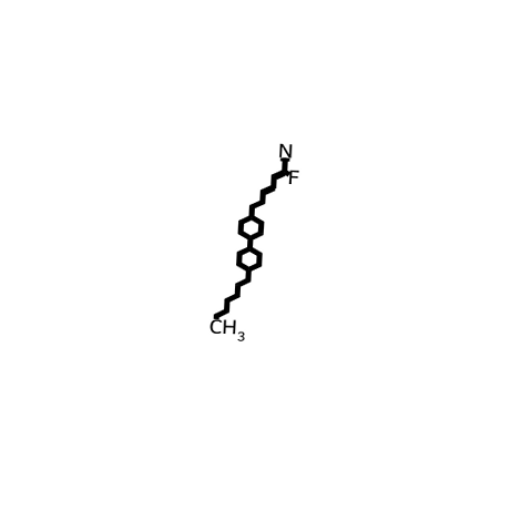 CCCCCCCC1CCC(C2CCC(CCC=CC=C(F)C#N)CC2)CC1